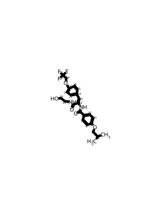 CC(C)COc1ccc(C(=O)NC(=Cc2ccc(OCC(F)(F)F)cc2)C(=O)NCCO)cc1